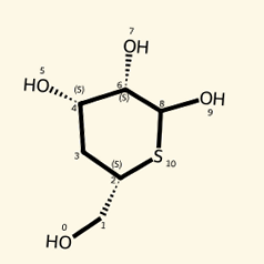 OC[C@@H]1C[C@H](O)[C@H](O)C(O)S1